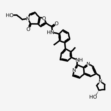 Cc1c(NC(=O)c2cc3c(=O)n(CCO)ccc3o2)cccc1-c1cccc(Nc2nccc3cc(CN4CC[C@H](O)C4)cnc23)c1C